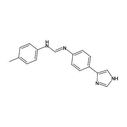 Cc1ccc(NC=Nc2ccc(-c3c[nH]cn3)cc2)cc1